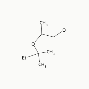 CCC(C)(C)OC(C)C[O]